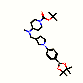 CN(CC1CCN(c2ccc(B3OC(C)(C)C(C)(C)O3)cc2)C1)C1CCN(C(=O)OC(C)(C)C)CC1